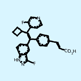 O=C(O)C=Cc1ccc(C(=C(c2ccncc2F)C2CCC2)c2ccc3[nH]nc(F)c3c2)cc1